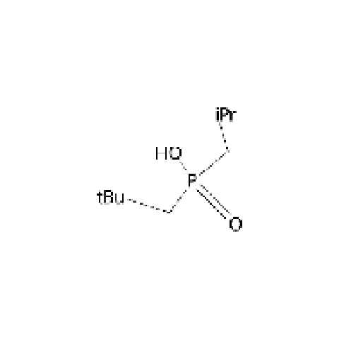 CC(C)CP(=O)(O)CC(C)(C)C